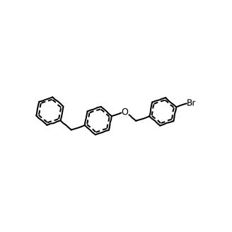 Brc1ccc(COc2ccc(Cc3ccccc3)cc2)cc1